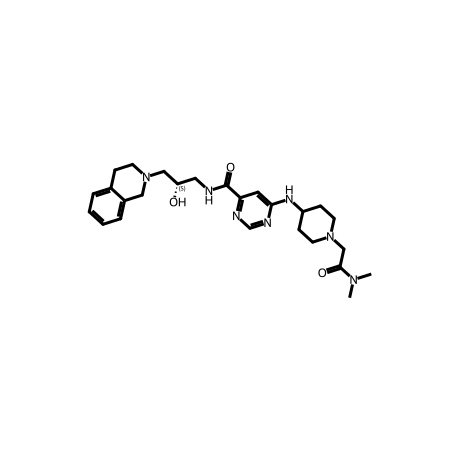 CN(C)C(=O)CN1CCC(Nc2cc(C(=O)NC[C@H](O)CN3CCc4ccccc4C3)ncn2)CC1